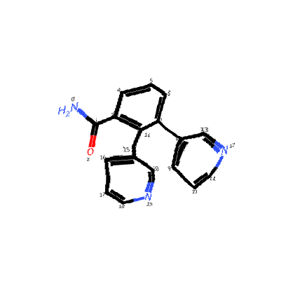 NC(=O)c1cccc(-c2cccnc2)c1-c1cccnc1